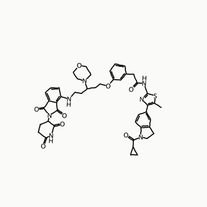 Cc1sc(NC(=O)Cc2cccc(OCCC(CCNc3cccc4c3C(=O)N(C3CCC(=O)NC3=O)C4=O)N3CCOCC3)c2)nc1-c1ccc2c(c1)CCN2C(=O)C1CC1